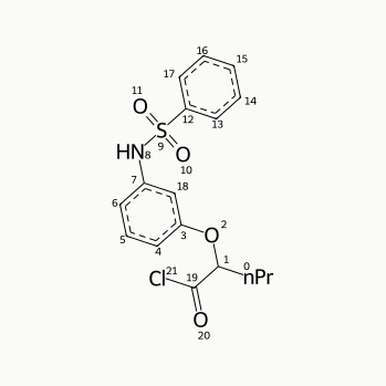 CCCC(Oc1cccc(NS(=O)(=O)c2ccccc2)c1)C(=O)Cl